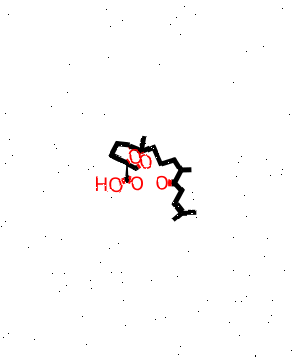 CC(C)=CCC(=O)C(C)CCCC1(C)OC[C@]2(C(=O)O)CCC1O2